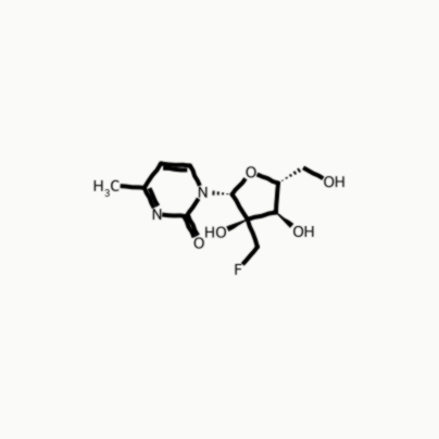 Cc1ccn([C@@H]2O[C@H](CO)[C@@H](O)[C@]2(O)CF)c(=O)n1